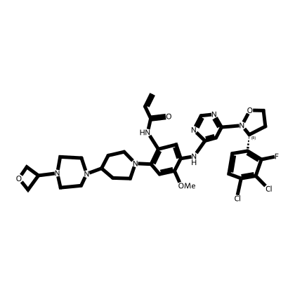 C=CC(=O)Nc1cc(Nc2cc(N3OCC[C@@H]3c3ccc(Cl)c(Cl)c3F)ncn2)c(OC)cc1N1CCC(N2CCN(C3COC3)CC2)CC1